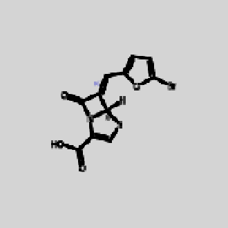 O=C(O)C1=CS[C@H]2/C(=C\c3ccc(Br)o3)C(=O)N12